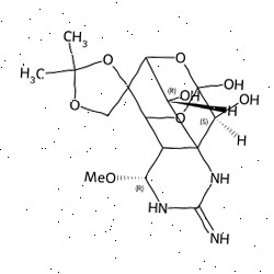 CO[C@H]1NC(=N)NC23C1C1OC(O)(OC([C@@H]2O)C12COC(C)(C)O2)[C@H]3O